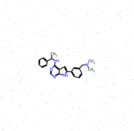 CC(Nc1ncnc2[nH]c(-c3cccc(CN(C)C)c3)cc12)c1ccccc1